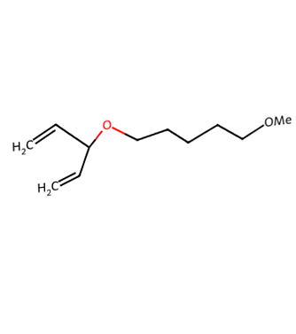 C=CC(C=C)OCCCCCOC